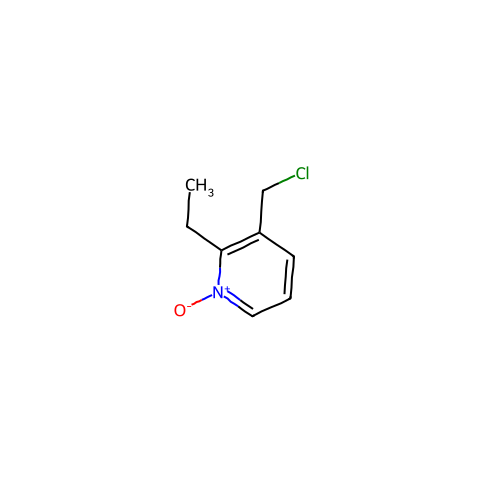 CCc1c(CCl)ccc[n+]1[O-]